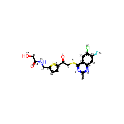 Cc1nc(SCC(=O)c2ccc(CNC(=O)CO)s2)c2cc(Cl)c(F)cc2n1